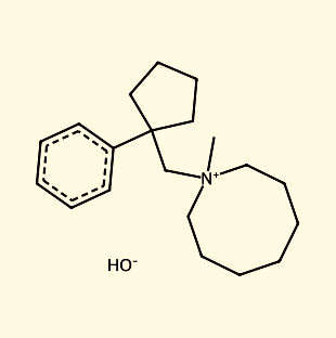 C[N+]1(CC2(c3ccccc3)CCCC2)CCCCCCC1.[OH-]